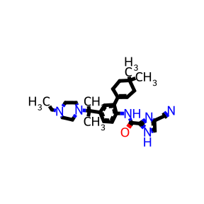 CCN1CCN(C(C)(C)c2ccc(NC(=O)c3nc(C#N)c[nH]3)c(C3=CCC(C)(C)CC3)c2)CC1